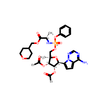 CCC(=O)O[C@H]1[C@H](c2ccc3c(N)ncnn23)O[C@](C)(CO[P@](=O)(N[C@@H](C)C(=O)OCC2CCOCC2)Oc2ccccc2)[C@H]1OC(=O)CC